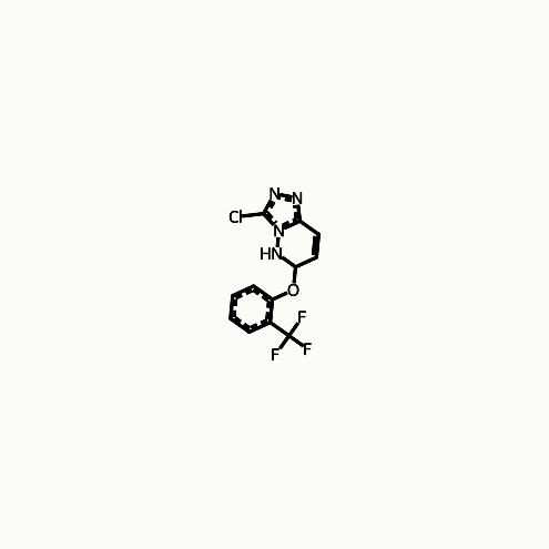 FC(F)(F)c1ccccc1OC1C=Cc2nnc(Cl)n2N1